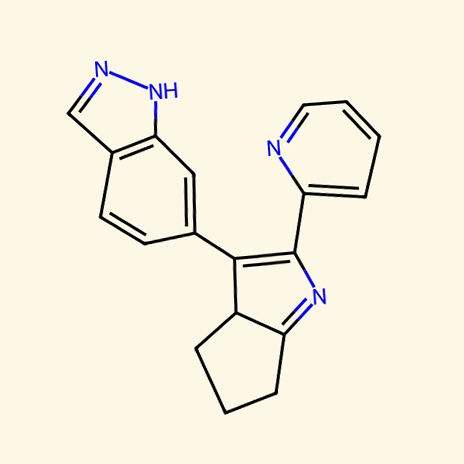 c1ccc(C2=C(c3ccc4cn[nH]c4c3)C3CCCC3=N2)nc1